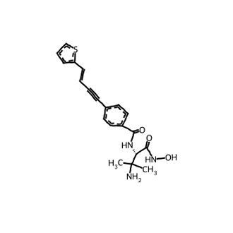 CC(C)(N)[C@H](NC(=O)c1ccc(C#C/C=C/c2cccs2)cc1)C(=O)NO